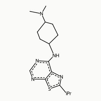 CC(C)c1nc2c(NC3CCC(N(C)C)CC3)ncnc2s1